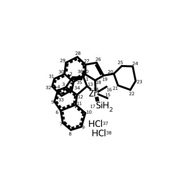 CC1=Cc2ccc3ccccc3c2[CH]1[Zr]([CH3])([CH3])(=[SiH2])[CH]1C(C2CCCCC2)=Cc2ccc3ccccc3c21.Cl.Cl